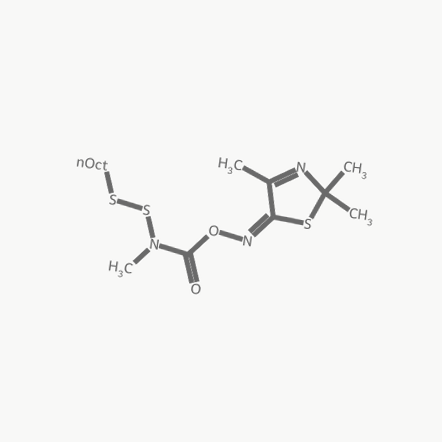 CCCCCCCCSSN(C)C(=O)ON=C1SC(C)(C)N=C1C